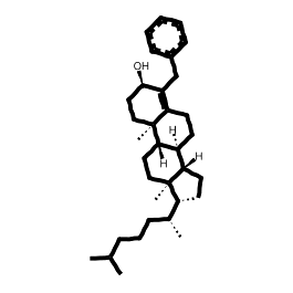 CC(C)CCC[C@@H](C)[C@H]1CC[C@H]2[C@@H]3CCC4=C(Cc5ccccc5)[C@H](O)CC[C@]4(C)[C@H]3CC[C@]12C